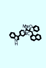 COc1ccccc1[C@H](c1cccc2ccccc12)[C@@](C)(C#N)C(=O)N1CC=C(c2c[nH]c3ccccc23)CC1